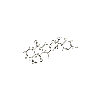 Cc1ccc(S(=O)(=O)Oc2cc(C)c3c(c2)C(=O)c2cccc(O)c2C3=O)cc1